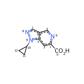 O=C(O)c1cc2c(cn1)cnn2C1CC1